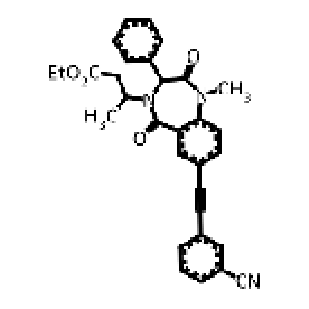 CCOC(=O)CC(C)N1C(=O)c2cc(C#Cc3cccc(C#N)c3)ccc2N(C)C(=O)C1c1ccccc1